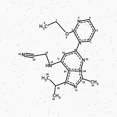 CCOc1ncccc1-c1cc(NCC#N)c2c(C(C)C)nc(C)n2n1